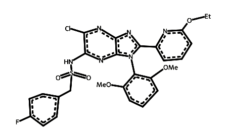 CCOc1cccc(-c2nc3nc(Cl)c(NS(=O)(=O)Cc4ccc(F)cc4)nc3n2-c2c(OC)cccc2OC)n1